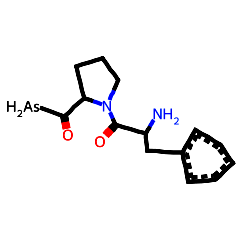 NC(Cc1ccccc1)C(=O)N1CCCC1C(=O)[AsH2]